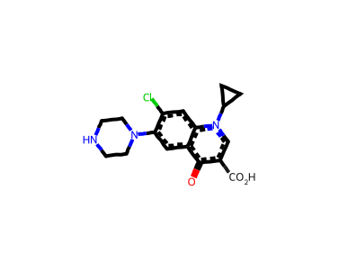 O=C(O)c1cn(C2CC2)c2cc(Cl)c(N3CCNCC3)cc2c1=O